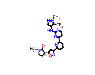 CN1CC[C@@H](c2cc(-c3cccc(-c4ccnc(Nc5cnn(C)c5C(F)(F)F)n4)n3)no2)C1=O